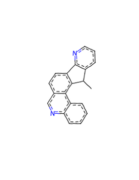 CC1c2cccnc2-c2ccc3cnc4ccccc4c3c21